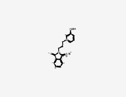 CNc1ccc[n+](CCCN2C(=O)c3ccccc3C2=O)c1.[Br-]